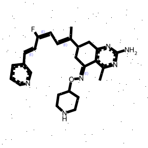 C\C(=C/C=C(F)\C=C\c1cccnc1)C1C/C(=N\OC2CCNCC2)c2c(C)nc(N)nc2C1